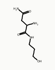 NC(=O)CC(N)C(=O)NCCCO